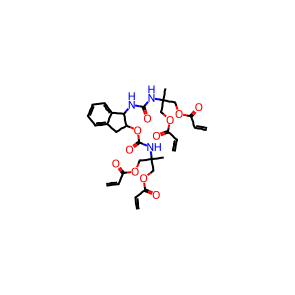 C=CC(=O)OCC(C)(COC(=O)C=C)NC(=O)NC1c2ccccc2CC1OC(=O)NC(C)(COC(=O)C=C)COC(=O)C=C